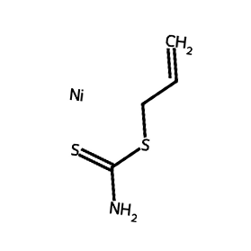 C=CCSC(N)=S.[Ni]